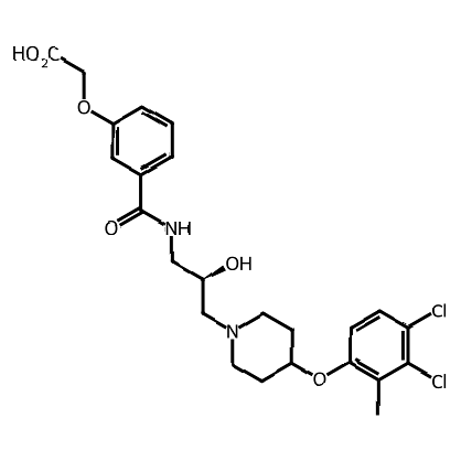 Cc1c(OC2CCN(C[C@H](O)CNC(=O)c3cccc(OCC(=O)O)c3)CC2)ccc(Cl)c1Cl